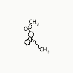 CCCCCn1c2c(c3ccccc31)CC(C(=O)OCC)CC2